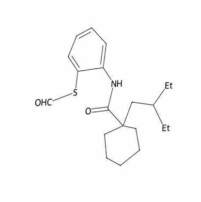 CCC(CC)CC1(C(=O)Nc2ccccc2SC=O)CCCCC1